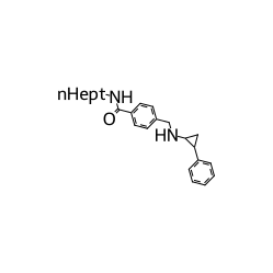 CCCCCCCNC(=O)c1ccc(CNC2CC2c2ccccc2)cc1